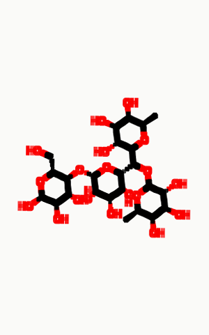 C[C@H]1OC(OC(C2O[C@H](C)[C@H](O)[C@H](O)[C@H]2O)[C@H]2O[C@@H](O[C@H]3[C@H](O)[C@@H](O)[C@@H](O)O[C@@H]3CO)[C@H](O)[C@@H](O)[C@H]2O)[C@H](O)[C@@H](O)[C@H]1O